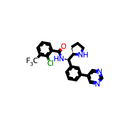 O=C(N[C@@H](c1cccc(-c2cncnc2)c1)[C@@H]1CCCN1)c1cccc(C(F)(F)F)c1Cl